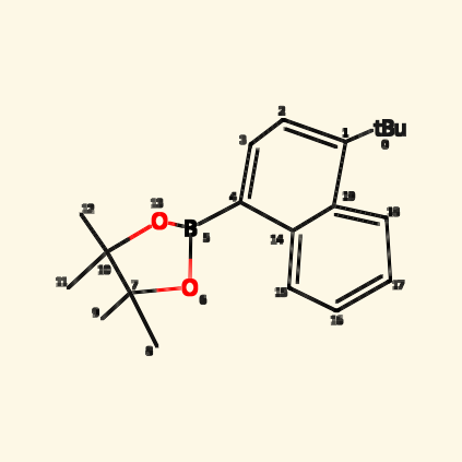 CC(C)(C)c1ccc(B2OC(C)(C)C(C)(C)O2)c2ccccc12